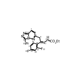 CCOC(=O)N/N=C(\Cc1ccc2nnc(C(C)C)n2n1)c1ccc(F)cc1F